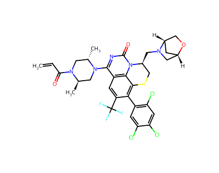 C=CC(=O)N1C[C@H](C)N(c2nc(=O)n3c4c(c(-c5cc(Cl)c(Cl)cc5Cl)c(C(F)(F)F)cc24)SC[C@@H]3CN2C[C@@H]3C[C@H]2CO3)C[C@H]1C